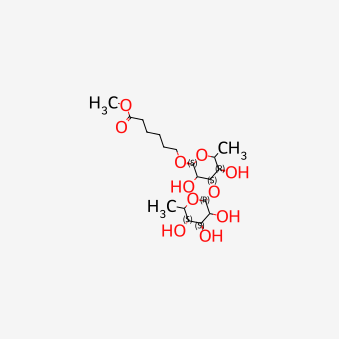 COC(=O)CCCCCO[C@H]1OC(C)[C@@H](O)[C@H](O[C@H]2OC(C)[C@@H](O)[C@H](O)C2O)C1O